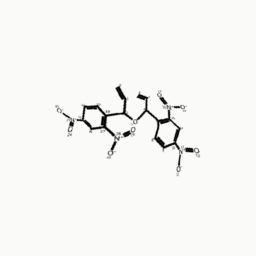 C=CC(OC(C=C)c1ccc([N+](=O)[O-])cc1[N+](=O)[O-])c1ccc([N+](=O)[O-])cc1[N+](=O)[O-]